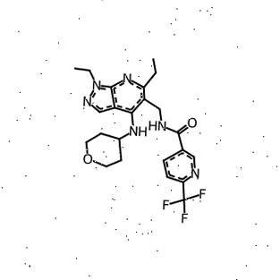 CCc1nc2c(cnn2CC)c(NC2CCOCC2)c1CNC(=O)c1ccc(C(F)(F)F)nc1